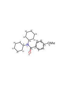 COc1ccc(C(=O)N(C2CCCCC2)C2CCCCC2)cc1